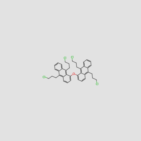 ClCCCc1c2ccccc2c(CCCCl)c2c(Oc3cccc4c(CCCCl)c5ccccc5c(CCCCl)c34)cccc12